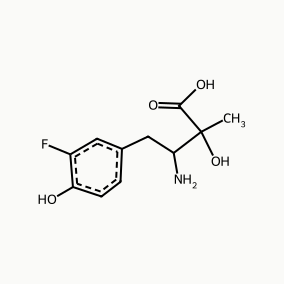 CC(O)(C(=O)O)C(N)Cc1ccc(O)c(F)c1